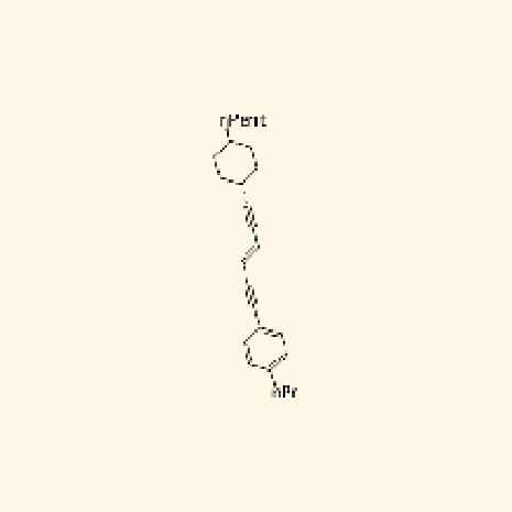 CCCCC[C@H]1CC[C@H](C#C/C=C/C#Cc2ccc(CCC)cc2)CC1